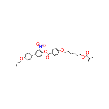 C=C(C)C(=O)OCCCCCCOc1ccc(C(=O)Oc2ccc(-c3ccc(OCCC)cc3)cc2[N+](=O)[O-])cc1